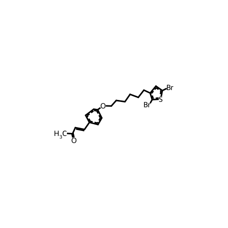 CC(=O)C=Cc1ccc(OCCCCCCc2cc(Br)sc2Br)cc1